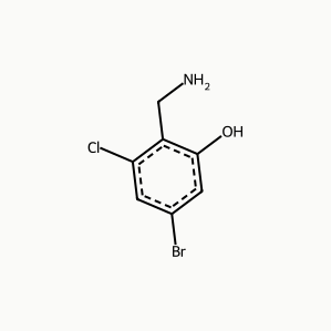 NCc1c(O)cc(Br)cc1Cl